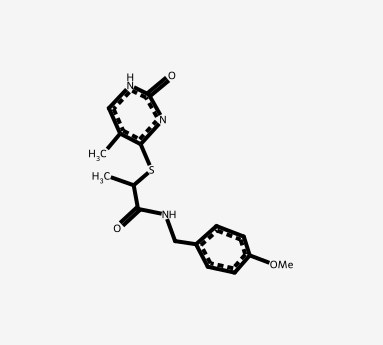 COc1ccc(CNC(=O)C(C)Sc2nc(=O)[nH]cc2C)cc1